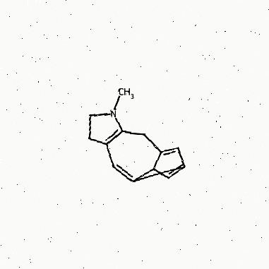 CN1CCC2=C1CC1=CC3=CC1C3=C2